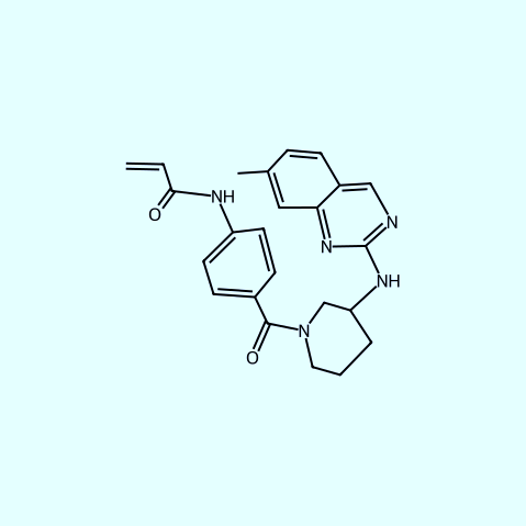 C=CC(=O)Nc1ccc(C(=O)N2CCCC(Nc3ncc4ccc(C)cc4n3)C2)cc1